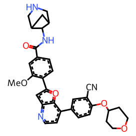 COc1cc(C(=O)NC2C3CNCC2C3)ccc1-c1cc2nccc(-c3ccc(OC4CCOCC4)c(C#N)c3)c2o1